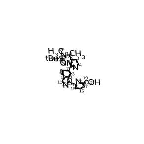 C[C@@H](c1ccnc(-c2ccc3cnn(-c4cccc(CO)n4)c3c2)n1)N(C)[S@+]([O-])C(C)(C)C